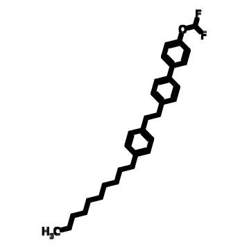 CCCCCCCCCCc1ccc(CCc2ccc(-c3ccc(OC(F)F)cc3)cc2)cc1